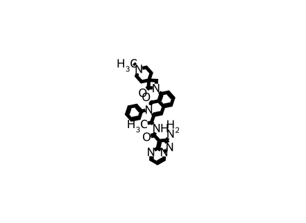 CC(NC(=O)c1c(N)nn2cccnc12)c1cc2cccc(N3CC4(CCN(C)CC4)C3=O)c2c(=O)n1-c1ccccc1